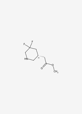 COC(=O)C[C@@H]1CNCC(F)(F)C1